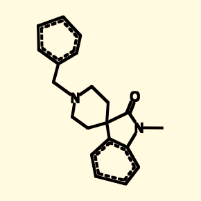 CN1C(=O)C2(CCN(Cc3ccccc3)CC2)c2ccccc21